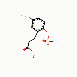 COc1ccc(OS(=O)(=O)C(F)(F)F)c(CCC(=O)OC(C)(C)C)c1